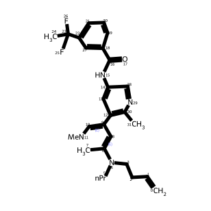 C=CCCN(CCC)/C(C)=C/C(=C\NC)c1cc(NC(=O)c2cccc(C(C)(F)F)c2)cnc1C